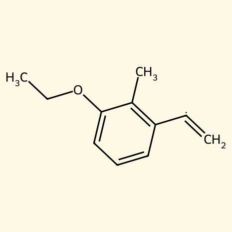 C=[C]c1cccc(OCC)c1C